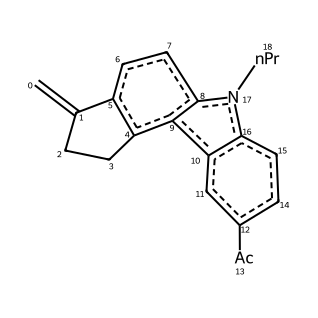 C=C1CCc2c1ccc1c2c2cc(C(C)=O)ccc2n1CCC